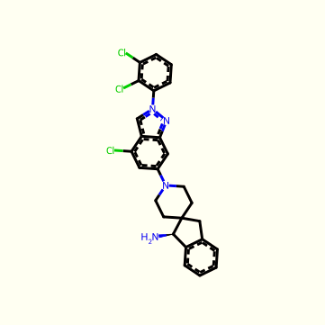 N[C@@H]1c2ccccc2CC12CCN(c1cc(Cl)c3cn(-c4cccc(Cl)c4Cl)nc3c1)CC2